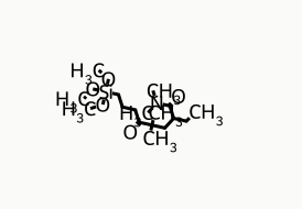 CCC(CC(C)(C)C(=O)CCC[Si](OC)(OC)OC)C(=O)N(C)C